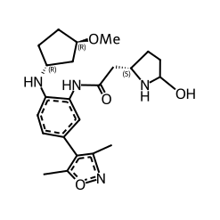 CO[C@@H]1CC[C@@H](Nc2ccc(-c3c(C)noc3C)cc2NC(=O)C[C@@H]2CCC(O)N2)C1